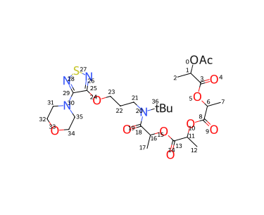 CC(=O)OC(C)C(=O)OC(C)C(=O)OC(C)C(=O)OC(C)C(=O)N(CCCOc1nsnc1N1CCOCC1)C(C)(C)C